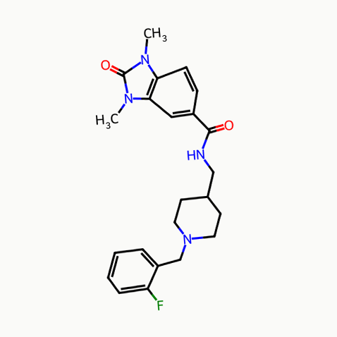 Cn1c(=O)n(C)c2cc(C(=O)NCC3CCN(Cc4ccccc4F)CC3)ccc21